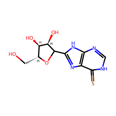 OC[C@H]1OC(c2nc3c(=S)[nH]cnc3[nH]2)[C@H](O)[C@@H]1O